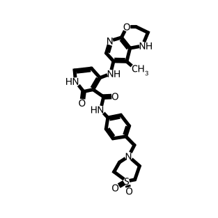 Cc1c(Nc2cc[nH]c(=O)c2C(=O)Nc2ccc(CN3CCS(=O)(=O)CC3)cc2)cnc2c1NCCO2